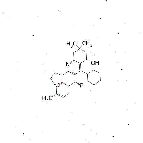 Cc1ccc([C@H](F)c2c(C3CCCC3)nc3c(c2C2CCCCC2)[C@@H](O)CC(C)(C)C3)cc1